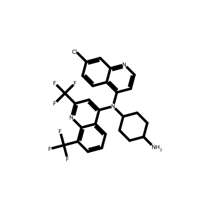 NC1CCC(N(c2ccnc3cc(Cl)ccc23)c2cc(C(F)(F)F)nc3c(C(F)(F)F)cccc23)CC1